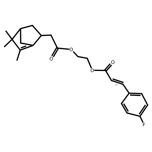 CC1=C2CC(CC2CC(=O)OCCOC(=O)/C=C/c2ccc(F)cc2)C1(C)C